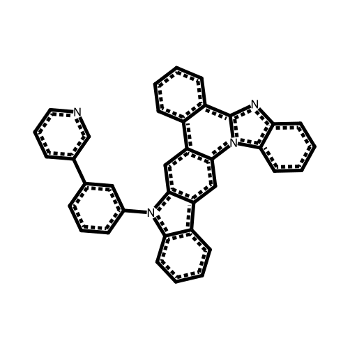 c1cncc(-c2cccc(-n3c4ccccc4c4cc5c(cc43)c3ccccc3c3nc4ccccc4n53)c2)c1